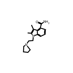 Cc1c(C)n(CCN2CCCC2)c2cc[c]c(C(N)=O)c12